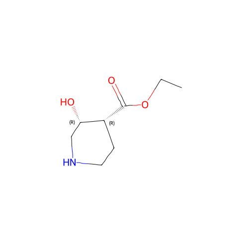 CCOC(=O)[C@@H]1CCNC[C@@H]1O